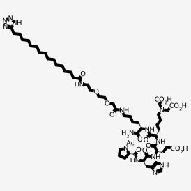 CC(=O)N1CCC[C@H]1C(=O)N[C@@H](Cc1c[nH]cn1)C(=O)N[C@@H](CCC(=O)O)C(=O)N[C@@H](CCCCN(CC(=O)O)CC(=O)O)C(=O)N[C@@H](CCCCNC(=O)COCCOCCNC(=O)CCCCCCCCCCCCCCCc1nnn[nH]1)C(N)=O